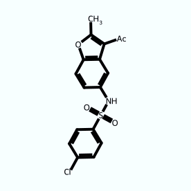 CC(=O)c1c(C)oc2ccc(NS(=O)(=O)c3ccc(Cl)cc3)cc12